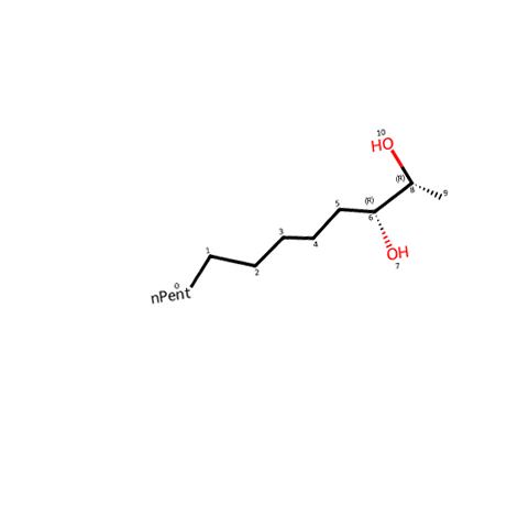 CCCCCCCCCC[C@@H](O)[C@@H](C)O